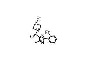 CCc1ccccc1-c1nc(C)c(C(=O)N2CCN(CC)CC2)s1